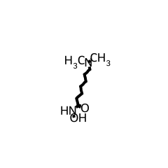 CN(C)CCCCCCC(=O)NO